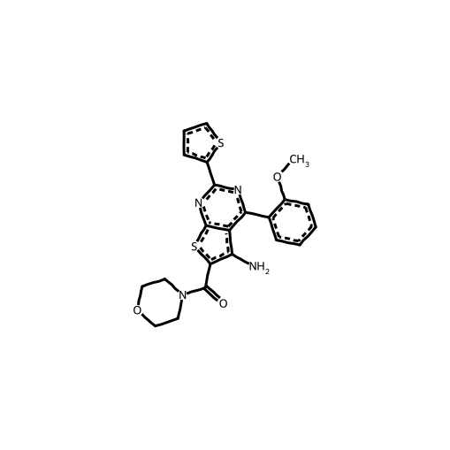 COc1ccccc1-c1nc(-c2cccs2)nc2sc(C(=O)N3CCOCC3)c(N)c12